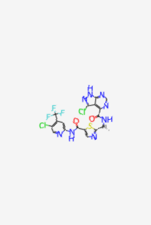 C[C@@H](NC(=O)c1ncnc2[nH]nc(Cl)c12)c1ncc(C(=O)Nc2cc(C(F)(F)F)c(Cl)cn2)s1